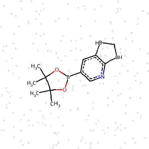 CC1(C)OB(c2cnc3c(c2)BCB3)OC1(C)C